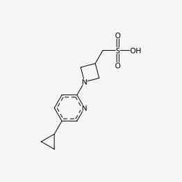 O=S(=O)(O)CC1CN(c2ccc(C3CC3)cn2)C1